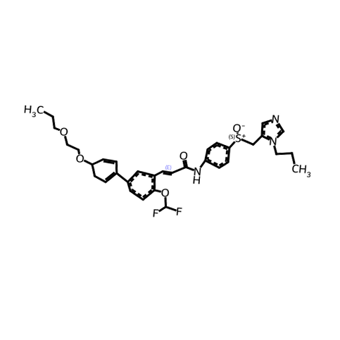 CCCOCCOC1C=CC(c2ccc(OC(F)F)c(/C=C/C(=O)Nc3ccc([S@+]([O-])Cc4cncn4CCC)cc3)c2)=CC1